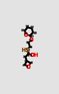 OC(CC1COC1)=[SH]CCOC1CCCCO1